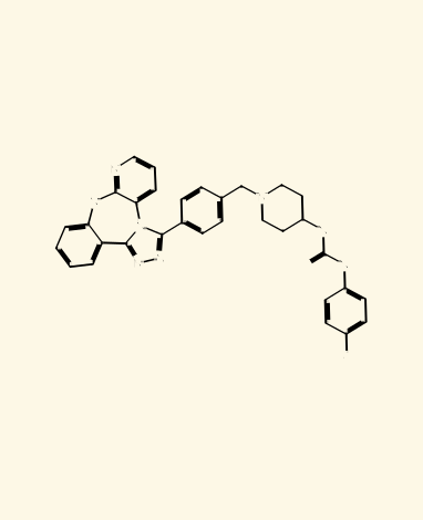 O=C(Nc1ccc(Cl)cc1)NC1CCN(Cc2ccc(-c3nnc4n3-c3cccnc3Nc3ccccc3-4)cc2)CC1